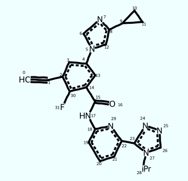 C#Cc1cc(-n2cnc(C3CC3)c2)cc(C(=O)Nc2cccc(-c3nncn3C(C)C)n2)c1F